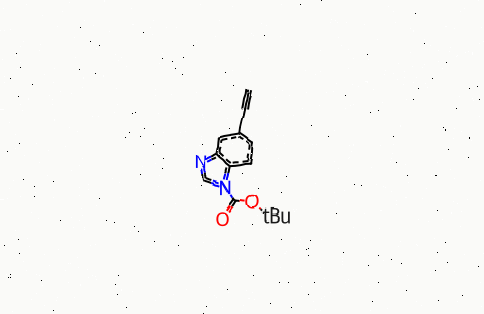 C#Cc1ccc2c(c1)ncn2C(=O)OC(C)(C)C